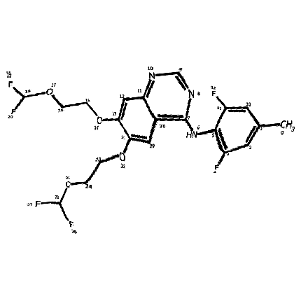 Cc1cc(F)c(Nc2ncnc3cc(OCCOC(F)F)c(OCCOC(F)F)cc23)c(F)c1